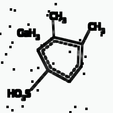 Cc1ccc(S(=O)(=O)O)cc1C.[GaH3]